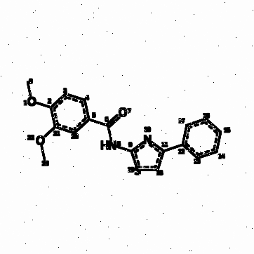 COc1ccc(C(=O)Nc2nc(-c3ccccc3)cs2)cc1OC